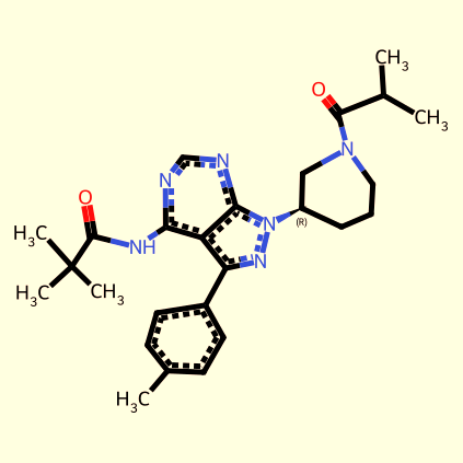 Cc1ccc(-c2nn([C@@H]3CCCN(C(=O)C(C)C)C3)c3ncnc(NC(=O)C(C)(C)C)c23)cc1